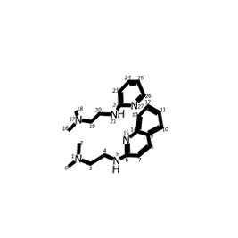 CN(C)CCNc1ccc2ccccc2n1.CN(C)CCNc1ccccn1